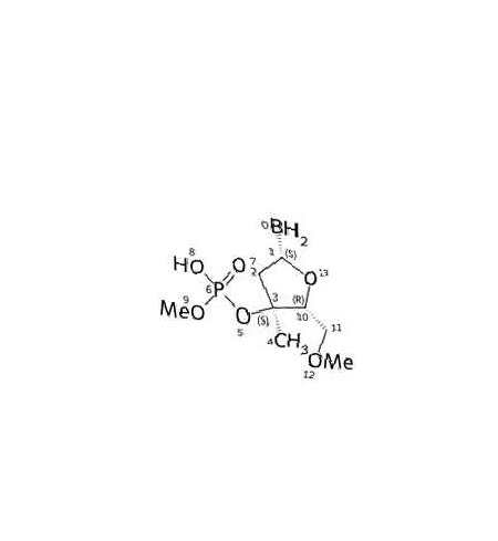 B[C@H]1C[C@](C)(OP(=O)(O)OC)[C@@H](COC)O1